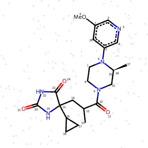 COc1cncc(N2CCN(C(=O)C(C)CC3(C4CC4)NC(=O)NC3=O)C[C@@H]2C)c1